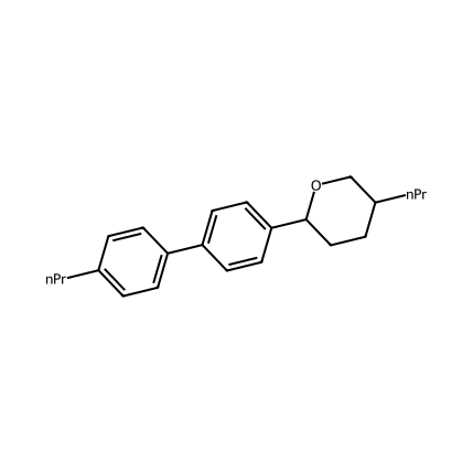 CCCc1ccc(-c2ccc(C3CCC(CCC)CO3)cc2)cc1